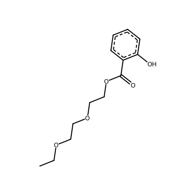 CCOCCOCCOC(=O)c1ccccc1O